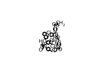 C=C(F)C(=O)N1CCN(c2nc(OCCN3CCN(C(=O)C4CCN(Cc5ccc(-n6c(C=O)nnc6-c6cc(C(C)C)c(O)cc6O)cc5)CC4)CC3)nc3c2CCN(c2cccc4cccc(Cl)c24)C3)CC1